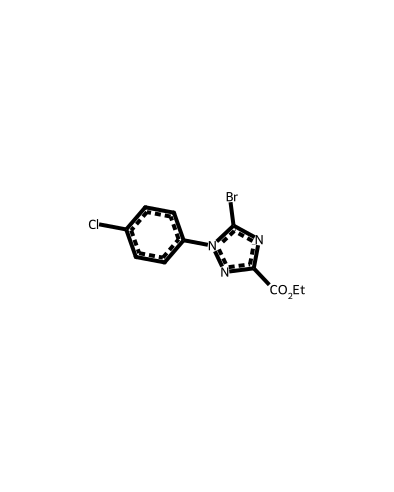 CCOC(=O)c1nc(Br)n(-c2ccc(Cl)cc2)n1